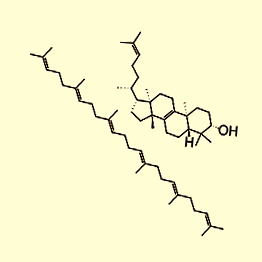 CC(C)=CCC/C(C)=C/CC/C(C)=C/CC/C=C(\C)CC/C=C(\C)CCC=C(C)C.CC(C)=CCC[C@@H](C)[C@H]1CC[C@@]2(C)C3=C(CC[C@]12C)[C@@]1(C)CC[C@H](O)C(C)(C)[C@@H]1CC3